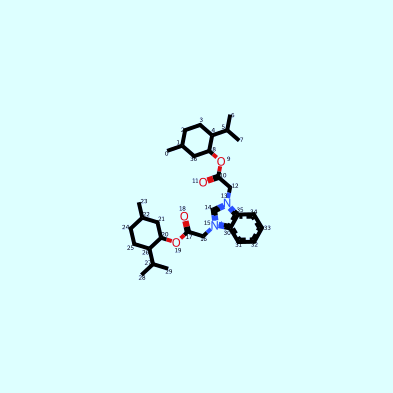 CC1CCC(C(C)C)C(OC(=O)Cn2c[n+](CC(=O)OC3CC(C)CCC3C(C)C)c3ccccc32)C1